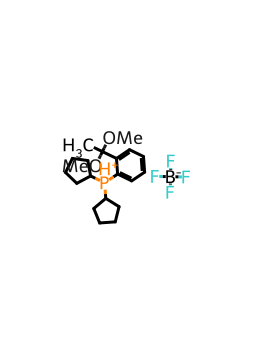 COC(C)(OC)c1ccccc1[PH+](C1CCCC1)C1CCCC1.F[B-](F)(F)F